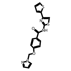 O=C(Nc1nc(-c2cccs2)cs1)c1ccc(OCn2cccn2)cc1